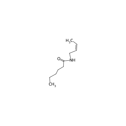 C/C=C\CNC(=O)CCCCC